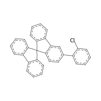 Clc1ccccc1-c1ccc2c(c1)-c1ccccc1C21c2ccccc2-c2ccccc21